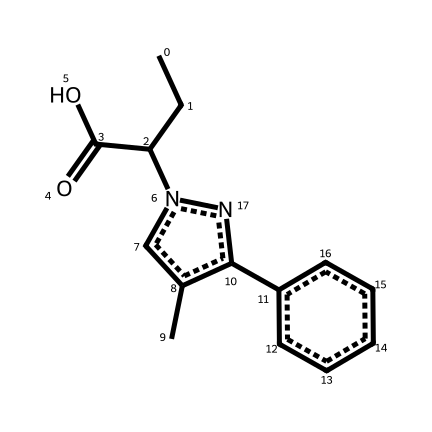 CCC(C(=O)O)n1cc(C)c(-c2ccccc2)n1